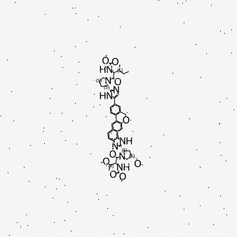 CC[C@H](C)C(NC(=O)OC)C(=O)N1C[C@@H](C)C[C@H]1c1ncc(-c2ccc3c(c2)COc2cc4c(ccc5nc([C@@H]6C[C@H](COC)CN6C(=O)C(NC(=O)OC)[C@@H](C)OC)[nH]c54)cc2-3)[nH]1